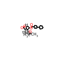 C[SiH](C)OC([C@@H]1[C@H]2CC(=O)O[C@H]2C[C@H]1OC(=O)c1ccc(-c2ccccc2)cc1)C(C)(C)C